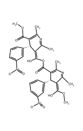 COC(=O)C1=C(C)N=C(C)/C(=C(/O)OC(=O)C2=C(C)N=C(C)/C(=C(/O)OC)[C@@H]2c2cccc([N+](=O)[O-])c2)[C@@H]1c1cccc([N+](=O)[O-])c1